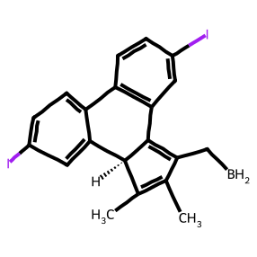 BCC1=C2c3cc(I)ccc3-c3ccc(I)cc3[C@@H]2C(C)=C1C